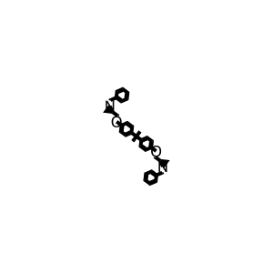 CC(C)(c1ccc(OCC2CN2Cc2ccccc2)cc1)c1ccc(OCC2CN2Cc2ccccc2)cc1